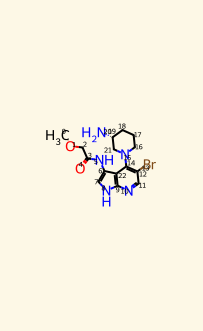 COCC(=O)Nc1c[nH]c2ncc(Br)c(N3CCC[C@@H](N)C3)c12